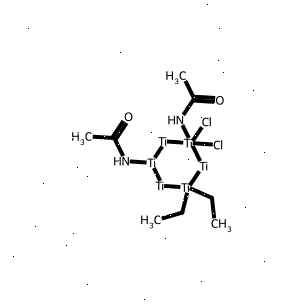 C[CH2][Ti]1([CH2]C)[Ti][Ti]([NH]C(C)=O)[Ti][Ti]([Cl])([Cl])([NH]C(C)=O)[Ti]1